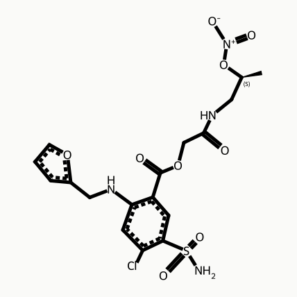 C[C@@H](CNC(=O)COC(=O)c1cc(S(N)(=O)=O)c(Cl)cc1NCc1ccco1)O[N+](=O)[O-]